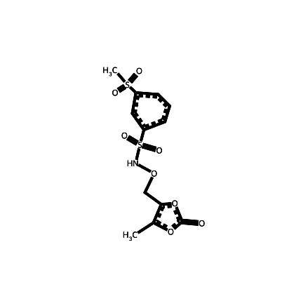 Cc1oc(=O)oc1CONS(=O)(=O)c1cccc(S(C)(=O)=O)c1